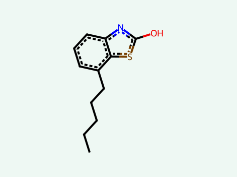 CCCCCc1cccc2nc(O)sc12